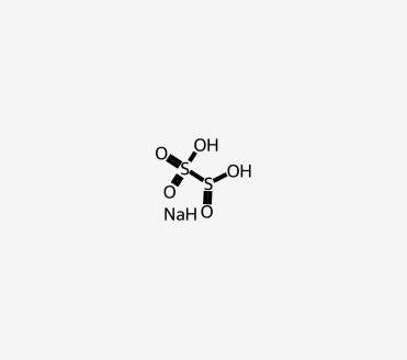 O=S(O)S(=O)(=O)O.[NaH]